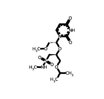 CNS(=O)(=O)C[C@H](COC(C)C)O[C@H](COC)n1ccc(=O)[nH]c1=O